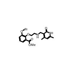 COC(=O)c1cccc(OC(C)C)c1OCCNCc1c(C)cc(C)[nH]c1=O